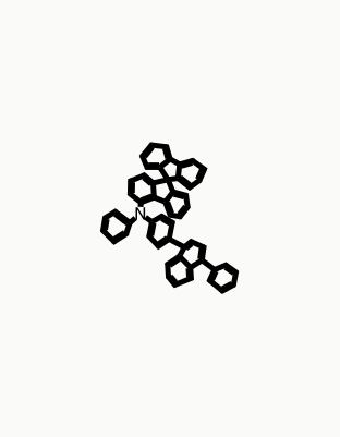 c1ccc(-c2ccc(-c3ccc(N(c4ccccc4)c4cccc5c4-c4ccccc4C54c5ccccc5-c5ccccc54)cc3)c3ccccc23)cc1